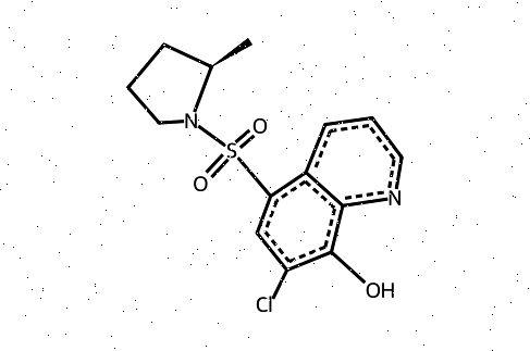 C[C@@H]1CCCN1S(=O)(=O)c1cc(Cl)c(O)c2ncccc12